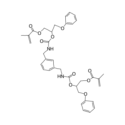 C=C(C)C(=O)OCC(COc1ccccc1)OC(=O)NCc1cccc(CNC(=O)OC(COC(=O)C(=C)C)COc2ccccc2)c1